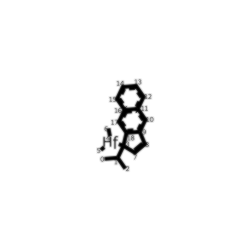 CC(C)[C]1([Hf]([CH3])[CH3])C=Cc2cc3ccccc3cc21